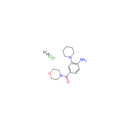 Nc1ccc(C(=O)N2CCOCC2)cc1N1CCCCC1.[Cl-].[Cl-].[H+].[H+]